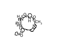 CC(C)[C@@H]1NC(=O)C2(/C=C/c3ccc4ccc(nc4c3)[C@@H](C)OC(=O)C3CCCN(N3)C(=O)[C@H](C)NC1=O)CCN(C(=O)N1CCCC1)CC2